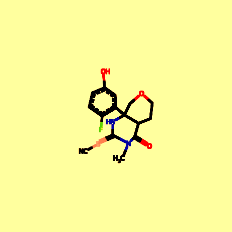 CN1C(=O)C2CCOCC2(c2cc(O)ccc2F)NC1=BC#N